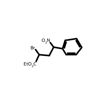 CCOC(=O)C(Br)CC(c1ccccc1)[N+](=O)[O-]